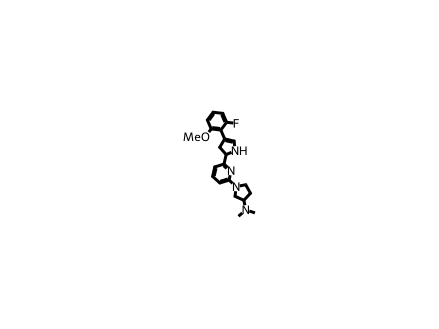 COc1cccc(F)c1C1=CNC(c2cccc(N3CCC(N(C)C)C3)n2)C1